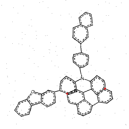 c1ccc(-c2cccc3cccc(-c4ccccc4N(c4ccc(-c5ccc6ccccc6c5)cc4)c4ccc(-c5ccc6c(c5)oc5ccccc56)cc4)c23)cc1